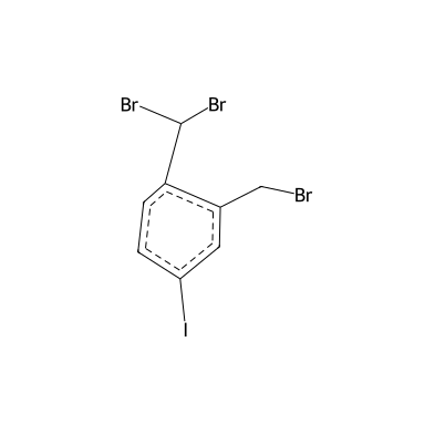 BrCc1cc(I)ccc1C(Br)Br